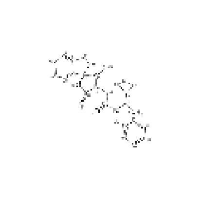 CC(C1CCC1)N(Cc1ccccc1)C(=O)CN1C(=O)OC2(CCc3ccccc32)C1=O